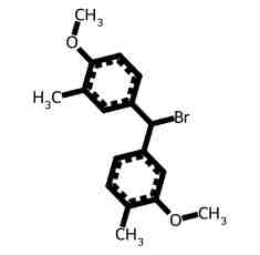 COc1ccc(C(Br)c2ccc(C)c(OC)c2)cc1C